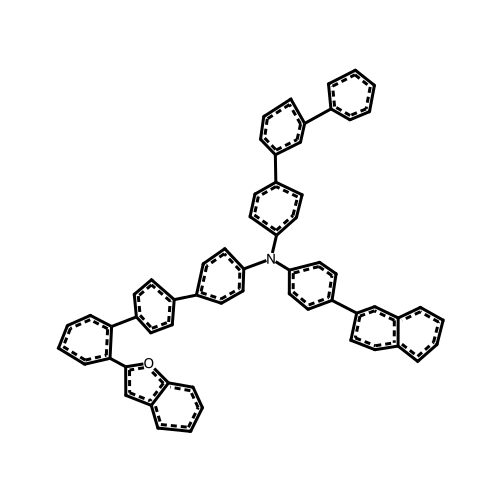 c1ccc(-c2cccc(-c3ccc(N(c4ccc(-c5ccc(-c6ccccc6-c6cc7ccccc7o6)cc5)cc4)c4ccc(-c5ccc6ccccc6c5)cc4)cc3)c2)cc1